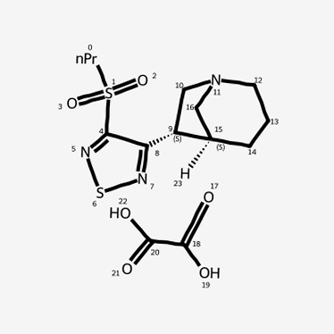 CCCS(=O)(=O)c1nsnc1[C@@H]1CN2CCC[C@@H]1C2.O=C(O)C(=O)O